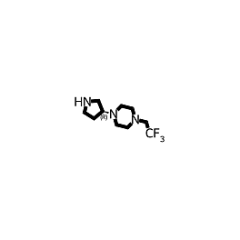 FC(F)(F)CN1CCN([C@@H]2CCNC2)CC1